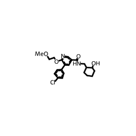 COCCOc1ncc(C(=O)NCC2CCCCC2O)cc1-c1ccc(Cl)cc1